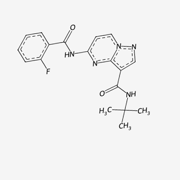 CC(C)(C)NC(=O)c1cnn2ccc(NC(=O)c3ccccc3F)nc12